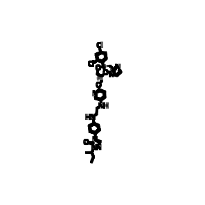 CCC(C)n1ncn(-c2ccc(NCCNc3ccc(OC[C@@H]4CO[C@@](Cn5nccn5)(c5ccc(Cl)cc5Cl)O4)nc3)cc2)c1=O